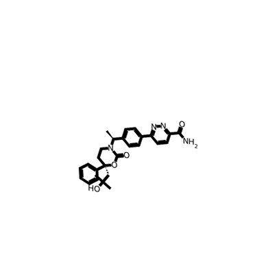 C[C@@H](c1ccc(-c2ccc(C(N)=O)nn2)cc1)N1CC[C@](CC(C)(C)O)(c2ccccc2)OC1=O